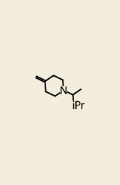 C=C1CCN(C(C)C(C)C)CC1